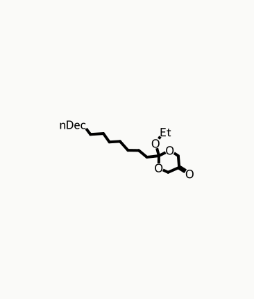 CCCCCCCCCCCCCCCCCC1(OCC)OCC(=O)CO1